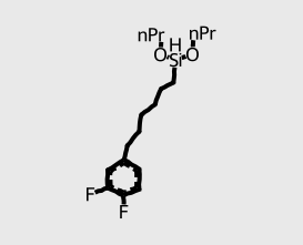 CCCO[SiH](CCCCCCc1ccc(F)c(F)c1)OCCC